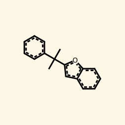 CC(C)(c1ccccc1)c1cc2ccccc2o1